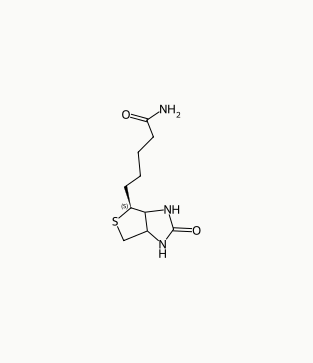 NC(=O)CCCC[C@@H]1SCC2NC(=O)NC21